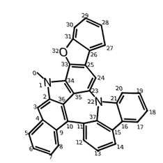 Cn1c2cc3ccccc3c3c4cccc5c6ccccc6n(c6cc7c8ccccc8oc7c1c6c32)c54